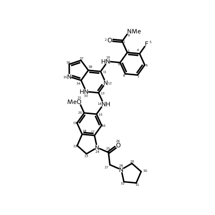 CNC(=O)c1c(F)cccc1Nc1nc(Nc2cc3c(cc2OC)CCN3C(=O)CN2CCCC2)[nH]c2nccc1-2